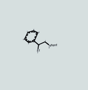 CCCCCCC(CC)c1ccccc1